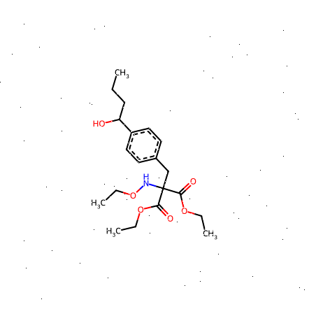 CCCC(O)c1ccc(CC(NOCC)(C(=O)OCC)C(=O)OCC)cc1